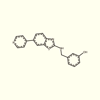 Oc1cccc(CNc2nc3ccc(-c4ccncc4)cc3s2)c1